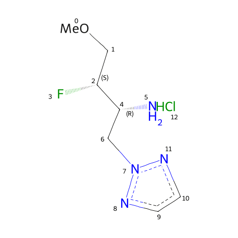 COC[C@@H](F)[C@H](N)Cn1nccn1.Cl